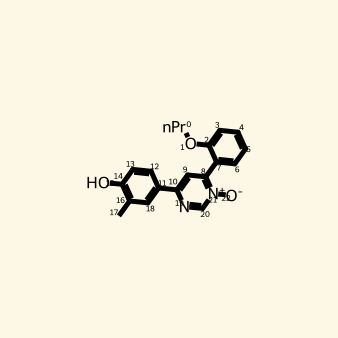 CCCOc1ccccc1-c1cc(-c2ccc(O)c(C)c2)nc[n+]1[O-]